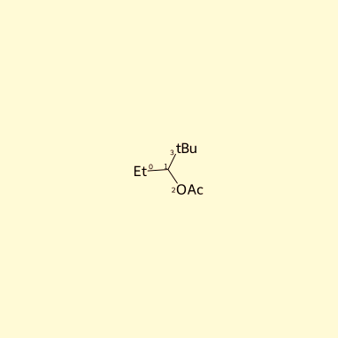 CCC(OC(C)=O)C(C)(C)C